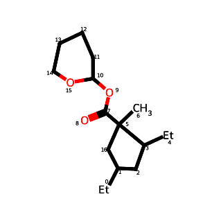 CCC1CC(CC)C(C)(C(=O)OC2CCCCO2)C1